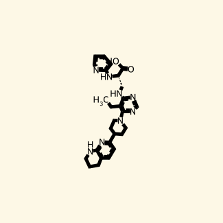 CCc1c(NC[C@H](Nc2ccccn2)C(=O)O)ncnc1N1CCC(c2ccc3c(n2)NCCC3)CC1